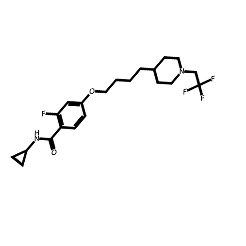 O=C(NC1CC1)c1ccc(OCCCCC2CCN(CC(F)(F)F)CC2)cc1F